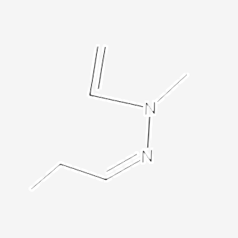 C=CN(C)/N=C\CC